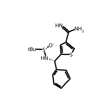 CC(C)(C)[S+]([O-])N[C@@H](c1ccccc1)c1cc(C(=N)N)cs1